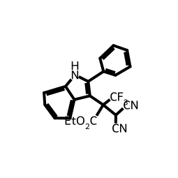 CCOC(=O)C(c1c(-c2ccccc2)[nH]c2ccccc12)(C(C#N)C#N)C(F)(F)F